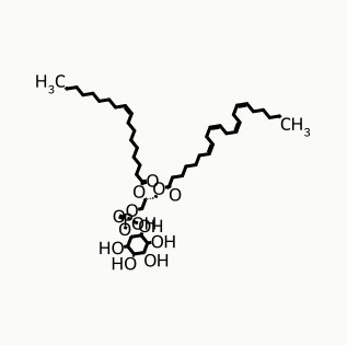 CCCCC/C=C\C/C=C\C/C=C\C/C=C\CCCCCC(=O)OC[C@H](COP(=O)(O)OC1C(O)C(O)C(O)[C@@H](O)C1O)OC(=O)CCCCCCC/C=C\CCCCCCCC